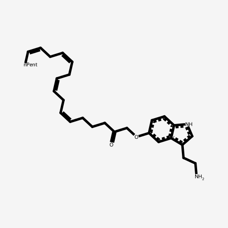 CCCCC/C=C\C/C=C\C/C=C\C/C=C\CCCC(=O)COc1ccc2[nH]cc(CCN)c2c1